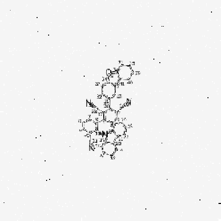 N#Cc1ccc(-c2cccc(C#N)c2-n2c3ccccc3c3ccccc32)c(C#N)c1-c1ccc2oc3ccccc3c2c1